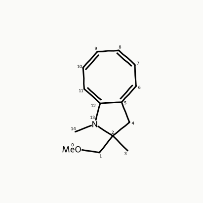 COCC1(C)CC2=C/C=C\C=C/C=C\2N1C